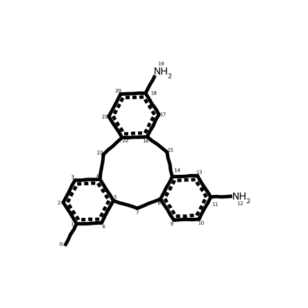 Cc1ccc2c(c1)Cc1ccc(N)cc1Cc1cc(N)ccc1C2